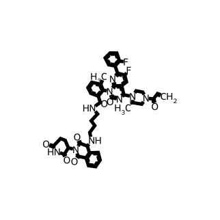 C=CC(=O)N1CCN(c2nc(=O)n(-c3c(C)cccc3C(=O)NCCCCNC3C(=O)N(C4CCC(=O)NC4=O)C(=O)c4ccccc43)c3nc(-c4ccccc4F)c(F)cc23)[C@@H](C)C1